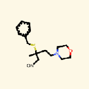 CC(CCN1CCOCC1)(CN=O)SCc1ccccc1